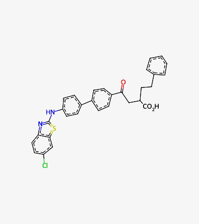 O=C(CC(CCc1ccccc1)C(=O)O)c1ccc(-c2ccc(Nc3nc4ccc(Cl)cc4s3)cc2)cc1